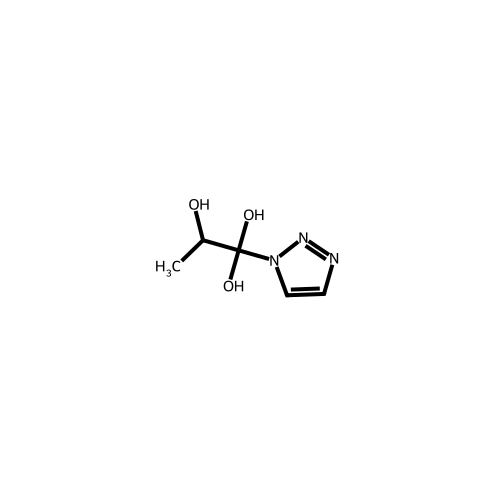 CC(O)C(O)(O)n1ccnn1